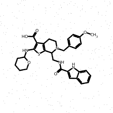 COc1ccc(CN2CCc3c(sc(NC4CCCCO4)c3C(=O)O)C2CNC(=O)c2cc3ccccc3[nH]2)cc1